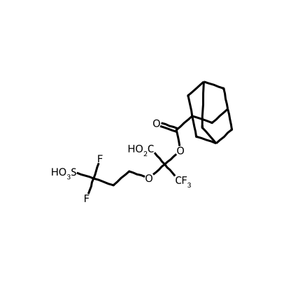 O=C(OC(OCCC(F)(F)S(=O)(=O)O)(C(=O)O)C(F)(F)F)C12CC3CC(CC(C3)C1)C2